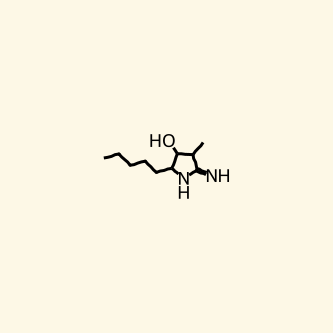 CCCCCC1NC(=N)C(C)C1O